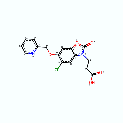 O=C(O)CCn1c(=O)oc2cc(OCc3ccccn3)c(Cl)cc21